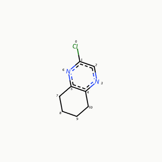 Clc1cnc2c(n1)CCCC2